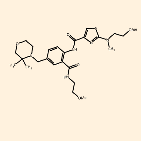 COCCNC(=O)c1cc(CN2CCOCC2(C)C)ccc1NC(=O)c1csc(N(C)CCOC)n1